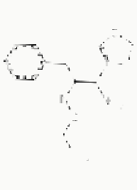 O=C(O)CONC(Cc1ccccc1)C(C1=COCO1)[N+](=O)[O-]